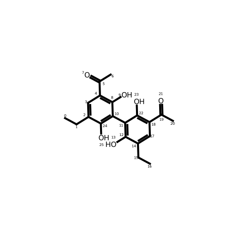 CCc1cc(C(C)=O)c(O)c(-c2c(O)c(CC)cc(C(C)=O)c2O)c1O